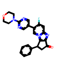 O=C1CC(c2ccccc2)c2c1nc1cc(F)c(-c3cnc(N4CCOCC4)nc3)cn21